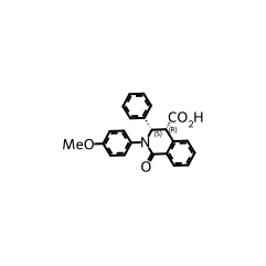 COc1ccc(N2C(=O)c3ccccc3[C@@H](C(=O)O)[C@H]2c2ccccc2)cc1